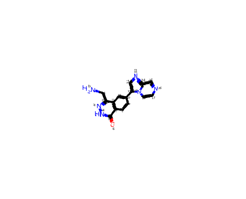 NCc1n[nH]c(=O)c2ccc(-c3cnc4cnccn34)cc12